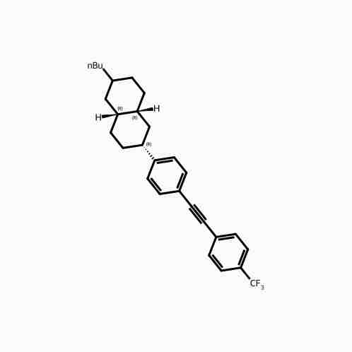 CCCCC1CC[C@@H]2C[C@H](c3ccc(C#Cc4ccc(C(F)(F)F)cc4)cc3)CC[C@@H]2C1